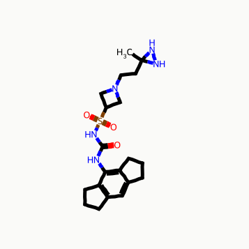 CC1(CCN2CC(S(=O)(=O)NC(=O)Nc3c4c(cc5c3CCC5)CCC4)C2)NN1